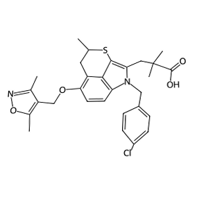 Cc1noc(C)c1COc1ccc2c3c1CC(C)Sc3c(CC(C)(C)C(=O)O)n2Cc1ccc(Cl)cc1